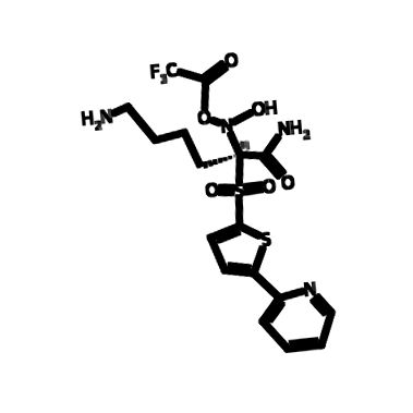 NCCCC[C@@](C(N)=O)(N(O)OC(=O)C(F)(F)F)S(=O)(=O)c1ccc(-c2ccccn2)s1